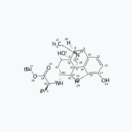 CC(C)[C@H](N[C@@H]1CC[C@@]2(O)[C@H]3Cc4ccc(O)c5c4[C@@]2(CCN3C)[C@H]1O5)C(=O)OC(C)(C)C